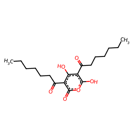 CCCCCCC(=O)c1c(O)oc(=O)c(C(=O)CCCCCC)c1O